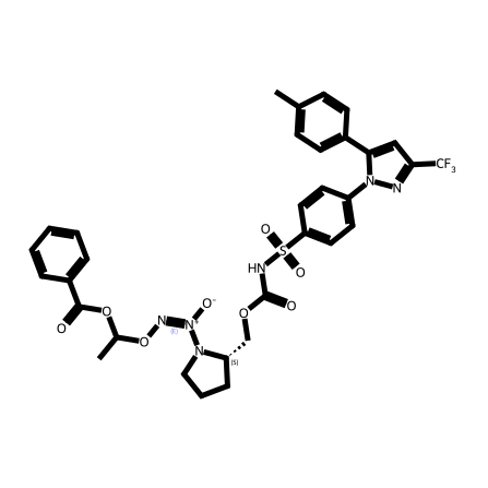 Cc1ccc(-c2cc(C(F)(F)F)nn2-c2ccc(S(=O)(=O)NC(=O)OC[C@@H]3CCCN3/[N+]([O-])=N\OC(C)OC(=O)c3ccccc3)cc2)cc1